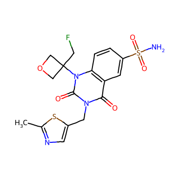 Cc1ncc(Cn2c(=O)c3cc(S(N)(=O)=O)ccc3n(C3(CF)COC3)c2=O)s1